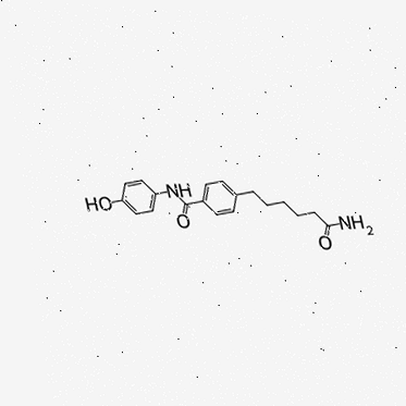 NC(=O)CCCCCc1ccc(C(=O)Nc2ccc(O)cc2)cc1